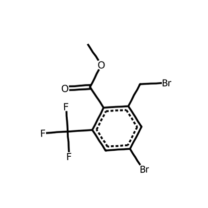 COC(=O)c1c(CBr)cc(Br)cc1C(F)(F)F